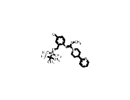 CS/C(=N\c1ccc(Cl)cc1CO[Si](C)(C)C(C)(C)C)N1CCC(c2ccccn2)CC1